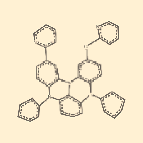 c1ccc(N2c3ccc(Oc4ccccn4)cc3B3c4cc(-c5ccccn5)ccc4N(c4ccccc4)c4cccc2c43)cc1